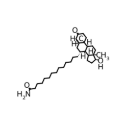 C[C@]12CCC(=O)C[C@@H]1C[C@@H](CCCCCCCCCCCCCC(N)=O)[C@@H]1[C@@H]2CC[C@]2(C)[C@@H](O)CC[C@@H]12